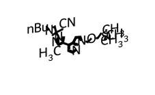 CCCCN1CC(CC#N)(n2cc(-c3ccnc4c3ccn4COCC[Si](C)(C)C)c(C)n2)C1